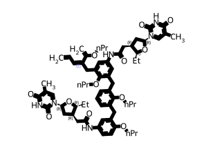 C=C/C=C(/Cc1cc(NC(=O)C[C@H]2C[C@H](n3cc(C)c(=O)[nH]c3=O)O[C@@H]2CC)cc(Cc2cccc(Cc3cc(NC(=O)C[C@H]4C[C@H](n5cc(C)c(=O)[nH]c5=O)O[C@@H]4CC)ccc3OCCC)c2OCCC)c1OCCC)C(=C)OCCC